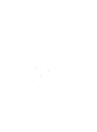 c1ccc(-c2ccc3c(c2)c2cc4ccccc4cc2n3-c2nc3ccccc3nc2-c2ccc3ccc4ccccc4c3c2)cc1